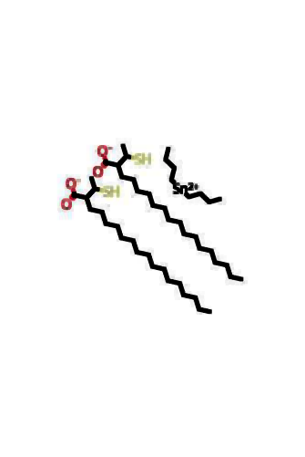 CCCCCCCCCCCCCCCCC(C(=O)[O-])C(C)S.CCCCCCCCCCCCCCCCC(C(=O)[O-])C(C)S.CCC[CH2][Sn+2][CH2]CCC